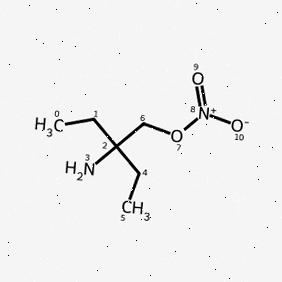 CCC(N)(CC)CO[N+](=O)[O-]